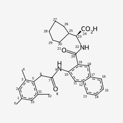 Cc1cc(C)c(CC(=O)Nc2cc3ccccc3cc2C(=O)N[C@H](C(=O)O)C2CCCCC2)c(C)c1